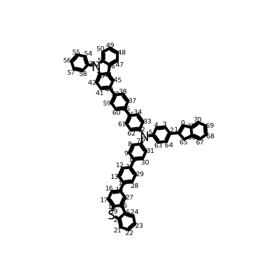 C1=C(c2ccc(N(c3ccc(-c4ccc(-c5ccc6sc7ccccc7c6c5)cc4)cc3)c3ccc(-c4ccc(-c5ccc6c(c5)c5ccccc5n6-c5ccccc5)cc4)cc3)cc2)Cc2ccccc21